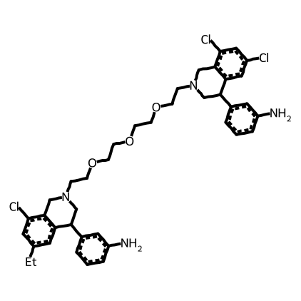 CCc1cc(Cl)c2c(c1)C(c1cccc(N)c1)CN(CCOCCOCCOCCN1Cc3c(Cl)cc(Cl)cc3C(c3cccc(N)c3)C1)C2